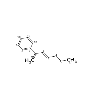 C=C(C=CCCC)c1ccccc1